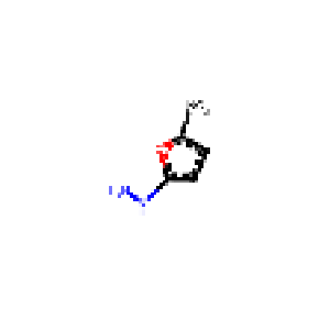 NNc1ccc([N+](=O)[O-])o1